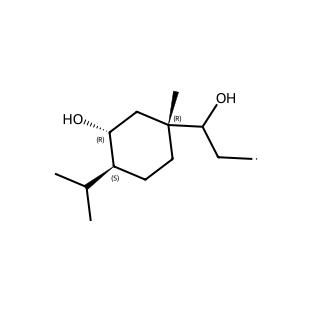 [CH2]CC(O)[C@]1(C)CC[C@@H](C(C)C)[C@H](O)C1